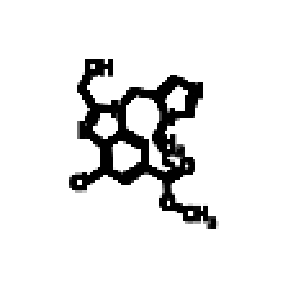 CCn1cncc1Cn1c(CO)nc2c(Cl)cc(C(=O)OC)cc21